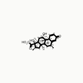 C[C@@H]1C[C@H]2[C@@H]3C[C@H](C)C4=CC(=O)C=C[C@]4(C)[C@@]3(Cl)[C@@H](O)C[C@]2(C)[C@@]1(O)C(=O)C(=O)O